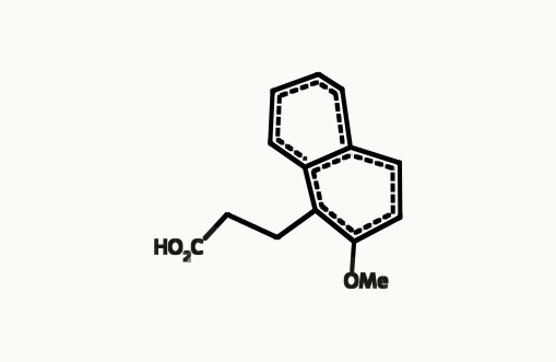 COc1ccc2ccccc2c1CCC(=O)O